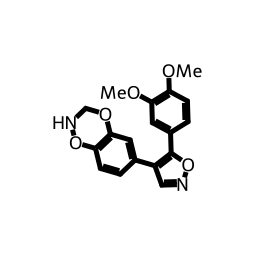 COc1ccc(-c2oncc2-c2ccc3c(c2)OCNO3)cc1OC